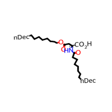 CCCCCCCCCCCCCCCCCCOC(=O)C[C@H](NC(=O)CCCCCCCCCCCCCCCCC)C(=O)O